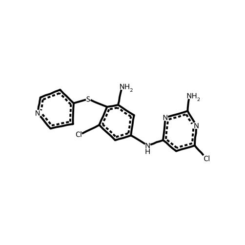 Nc1nc(Cl)cc(Nc2cc(N)c(Sc3ccncc3)c(Cl)c2)n1